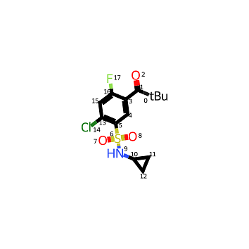 CC(C)(C)C(=O)c1cc(S(=O)(=O)NC2CC2)c(Cl)cc1F